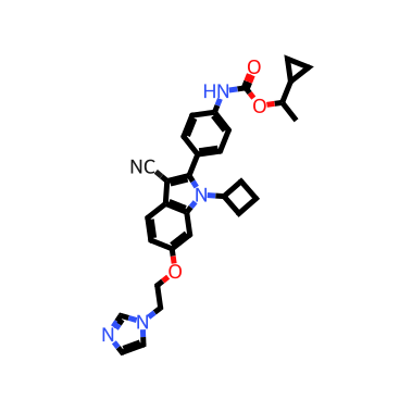 CC(OC(=O)Nc1ccc(-c2c(C#N)c3ccc(OCCn4ccnc4)cc3n2C2CCC2)cc1)C1CC1